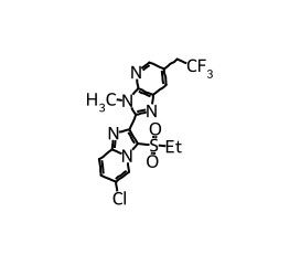 CCS(=O)(=O)c1c(-c2nc3cc(CC(F)(F)F)cnc3n2C)nc2ccc(Cl)cn12